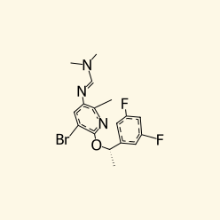 Cc1nc(O[C@@H](C)c2cc(F)cc(F)c2)c(Br)cc1N=CN(C)C